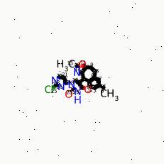 CCc1ccc2c(c1)C=Cc1oc(C)nc1C2c1cn(-c2ccnc(Cl)n2)c(=O)[nH]c1=O